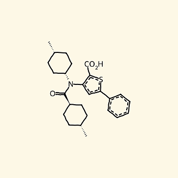 C[C@H]1CC[C@H](C(=O)N(c2cc(-c3ccccc3)sc2C(=O)O)[C@H]2CC[C@@H](C)CC2)CC1